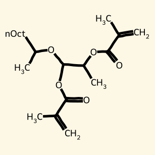 C=C(C)C(=O)OC(C)C(OC(=O)C(=C)C)OC(C)CCCCCCCC